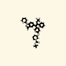 CC(C)(C)OC(=O)N1CCC[C@@H](Oc2ccc(/C(=C(/CC(F)(F)F)c3ccccc3)c3ccc4c(c3)c(F)nn4C3CCCCO3)cn2)C1